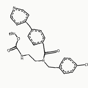 CC(C)(C)OC(=O)NCCN(Cc1ccc(Cl)cc1)C(=O)c1ccc(-c2ccncc2)cc1